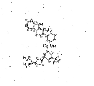 Cc1ccc(NC(=O)c2cc(N3CCC(N(C)C)C3)cc(C(F)(F)F)c2)cc1-c1ccc2c(c1)[nH]c1ncncc12